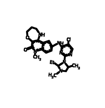 CCC1N(C)CC(C)N1c1ncc(Cl)c(Nc2ccc3c(c2)c2c(c(=O)n3C)OCCCN2)n1